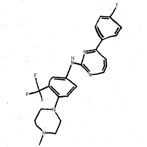 CN1CCN(c2ccc(Nc3nccc(-c4ccc(F)cc4)n3)cc2C(F)(F)F)CC1